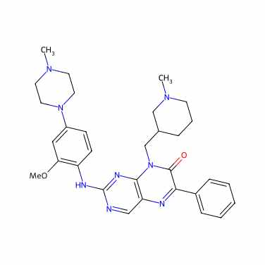 COc1cc(N2CCN(C)CC2)ccc1Nc1ncc2nc(-c3ccccc3)c(=O)n(CC3CCCN(C)C3)c2n1